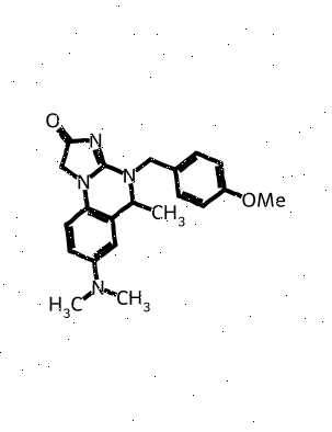 COc1ccc(CN2C3=NC(=O)CN3c3ccc(N(C)C)cc3C2C)cc1